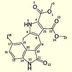 COC(=O)c1[nH]c(C)c(C=C2C(=O)Nc3ccc(I)cc32)c1C(=O)OC